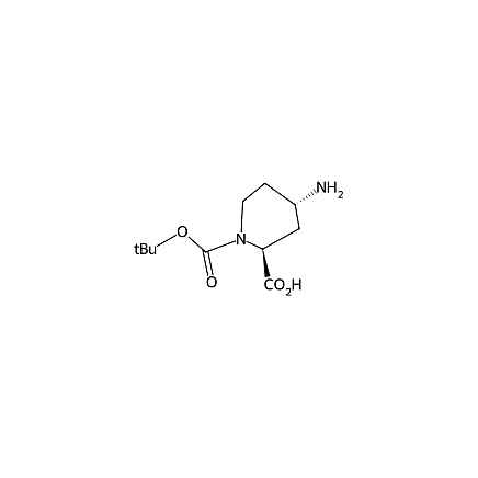 CC(C)(C)OC(=O)N1CC[C@H](N)C[C@H]1C(=O)O